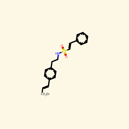 CCOC(=O)/C=C/c1ccc(CCNS(=O)(=O)/C=C/c2ccccc2)cc1